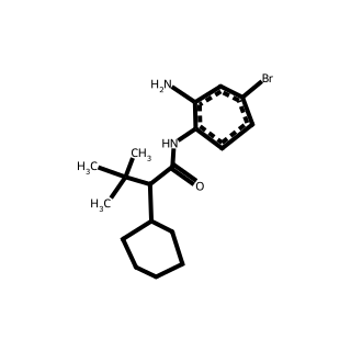 CC(C)(C)[C](C(=O)Nc1ccc(Br)cc1N)C1CCCCC1